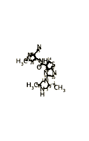 CC[C@@H]1CN[C@H](C)CN1c1cnc2scc(C(=O)Nc3cn(C)nc3C#N)c2n1